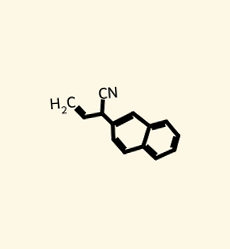 C=CC(C#N)c1ccc2ccccc2c1